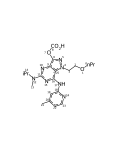 CCCOCCn1nc(OC(=O)O)c2nc(N(C)C(C)C)nc(Nc3cc(C)ccn3)c21